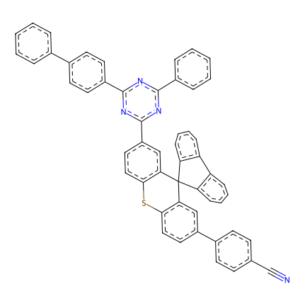 N#Cc1ccc(-c2ccc3c(c2)C2(c4cc(-c5nc(-c6ccccc6)nc(-c6ccc(-c7ccccc7)cc6)n5)ccc4S3)c3ccccc3-c3ccccc32)cc1